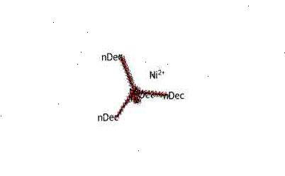 CCCCCCCCCCCCCCCCCCCCCC/C=C/C(=N/c1ccccc1CCC/C=C/CCCCCCCCCCCCCCCCCCCCCCC)C(/CCCCCCCC)=N/c1ccccc1CCC/C=C/CCCCCCCCCCCCCCCCCCCCCCC.[Ni+2]